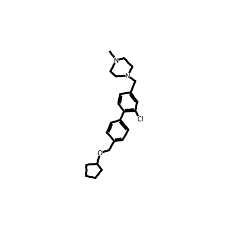 CN1CCN(Cc2ccc(-c3ccc(COC4CCCC4)cc3)c(Cl)c2)CC1